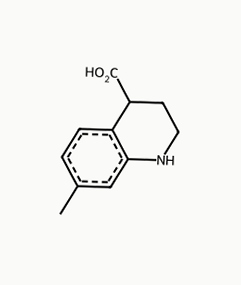 Cc1ccc2c(c1)NCCC2C(=O)O